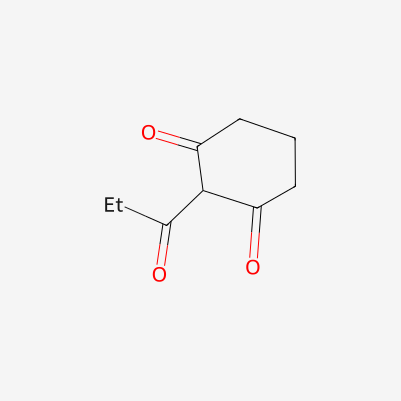 CCC(=O)C1C(=O)CCCC1=O